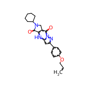 C=CCOc1ccc(-c2cc3[nH]c4c(c(=O)n3n2)CN(C2CCCCC2)C4=O)cc1